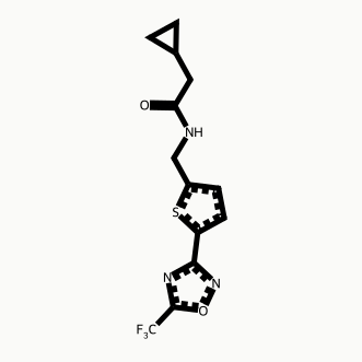 O=C(CC1CC1)NCc1ccc(-c2noc(C(F)(F)F)n2)s1